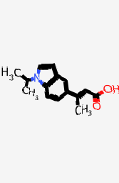 CC(=CC(=O)O)c1ccc2c(ccn2C(C)C)c1